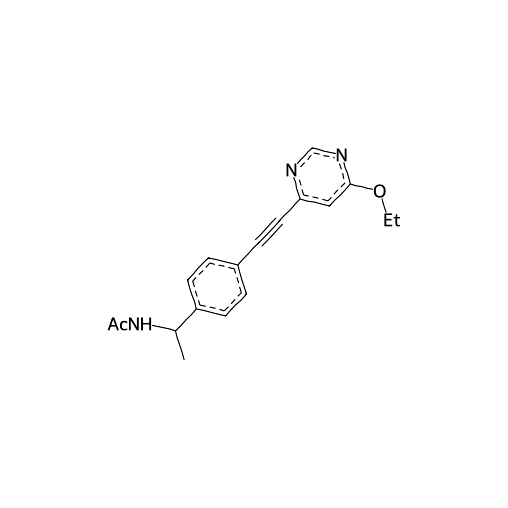 CCOc1cc(C#Cc2ccc(C(C)NC(C)=O)cc2)ncn1